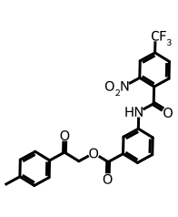 Cc1ccc(C(=O)COC(=O)c2cccc(NC(=O)c3ccc(C(F)(F)F)cc3[N+](=O)[O-])c2)cc1